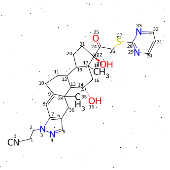 [C-]#[N+]CCn1ncc2c1C=C1CCC3C([C@@H](O)CC4(C)C3CC[C@]4(O)C(=O)CSc3ncccn3)C1(C)C2